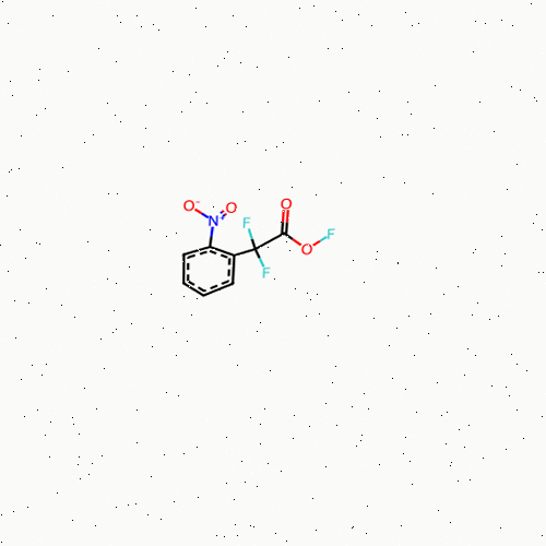 O=C(OF)C(F)(F)c1ccccc1[N+](=O)[O-]